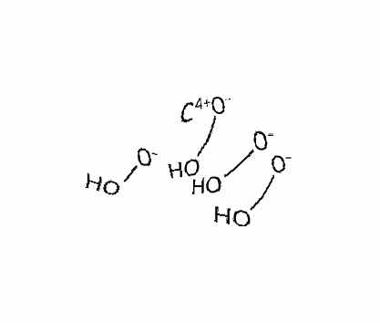 [C+4].[O-]O.[O-]O.[O-]O.[O-]O